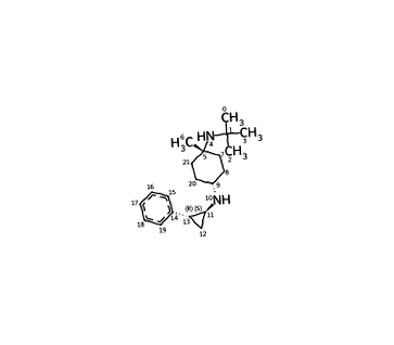 CC(C)(C)N[C@]1(C)CC[C@H](N[C@H]2C[C@@H]2c2ccccc2)CC1